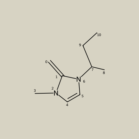 C=C1N(C)C=CN1C(C)CC